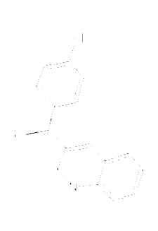 Clc1ccc(C(Cl)c2cnc3ccccc3c2)cc1